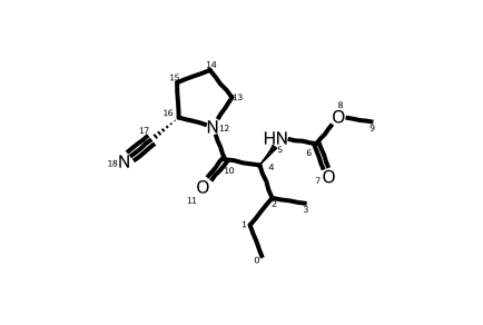 CCC(C)[C@H](NC(=O)OC)C(=O)N1CCC[C@H]1C#N